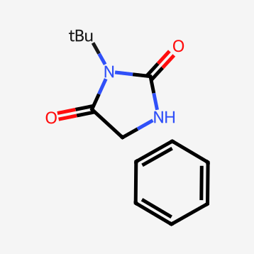 CC(C)(C)N1C(=O)CNC1=O.c1ccccc1